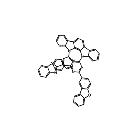 c1ccc(-c2nc(-c3ccc4oc5ccccc5c4c3)nc(-n3c4ccccc4c4ccc5c6ccccc6n(-c6cccc(-c7nc8ccccc8s7)c6)c5c43)n2)cc1